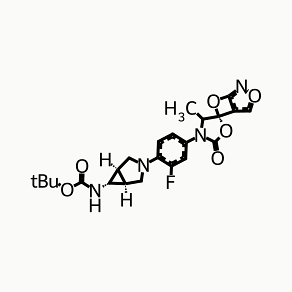 CC1N(c2ccc(N3C[C@@H]4[C@H](C3)[C@H]4NC(=O)OC(C)(C)C)c(F)c2)C(=O)O[C@@]12Oc1nocc12